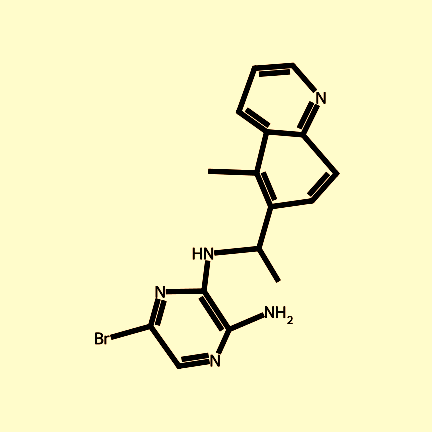 Cc1c(C(C)Nc2nc(Br)cnc2N)ccc2ncccc12